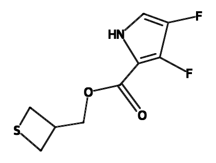 O=C(OCC1CSC1)c1[nH]cc(F)c1F